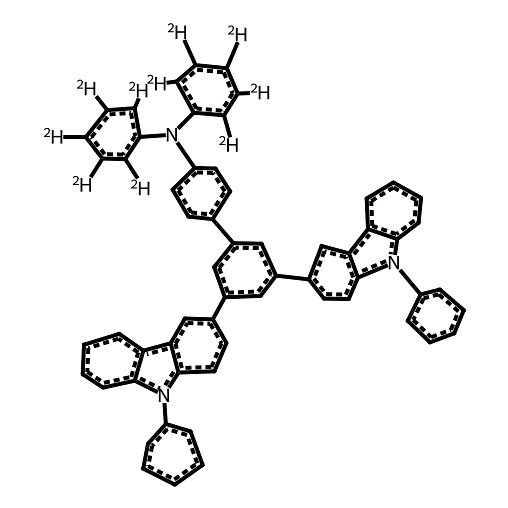 [2H]c1c([2H])c([2H])c(N(c2ccc(-c3cc(-c4ccc5c(c4)c4ccccc4n5-c4ccccc4)cc(-c4ccc5c(c4)c4ccccc4n5-c4ccccc4)c3)cc2)c2c([2H])c([2H])c([2H])c([2H])c2[2H])c([2H])c1[2H]